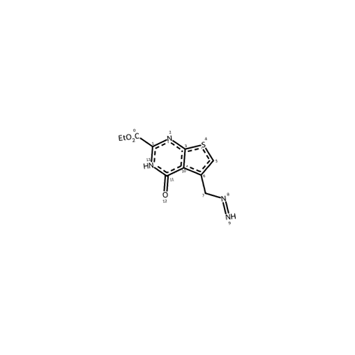 CCOC(=O)c1nc2scc(CN=N)c2c(=O)[nH]1